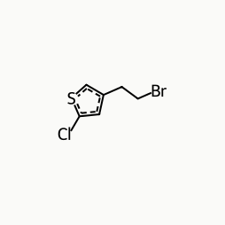 Clc1cc(CCBr)cs1